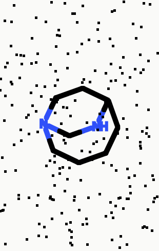 C1CCN2CCC(C1)NC2